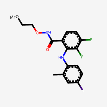 COCCONC(=O)c1ccc(F)c(F)c1Nc1ccc(I)cc1C